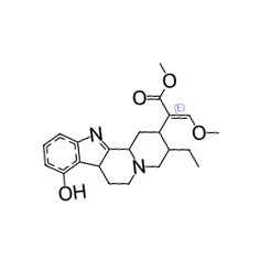 CCC1CN2CCC3C(=Nc4cccc(O)c43)C2CC1/C(=C\OC)C(=O)OC